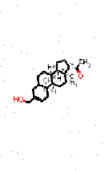 CC(=O)[C@H]1CC[C@H]2[C@@H]3CCC4CC(CO)=CC[C@]4(C)[C@H]3CC[C@]12C